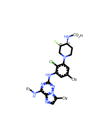 CCNc1nc(Nc2cc(C#N)cc(N3CC[C@H](NC(=O)O)[C@H](F)C3)c2Cl)nn2c(C#N)cnc12